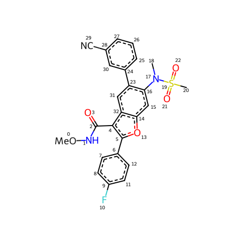 CONC(=O)c1c(-c2ccc(F)cc2)oc2cc(N(C)S(C)(=O)=O)c(-c3cccc(C#N)c3)cc12